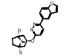 CN1[C@@H]2CC[C@H]1C[C@@H](Oc1ccc(-c3ccc4occc4c3)nn1)C2